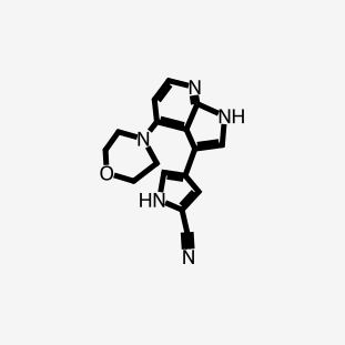 N#Cc1cc(-c2c[nH]c3nccc(N4CCOCC4)c23)c[nH]1